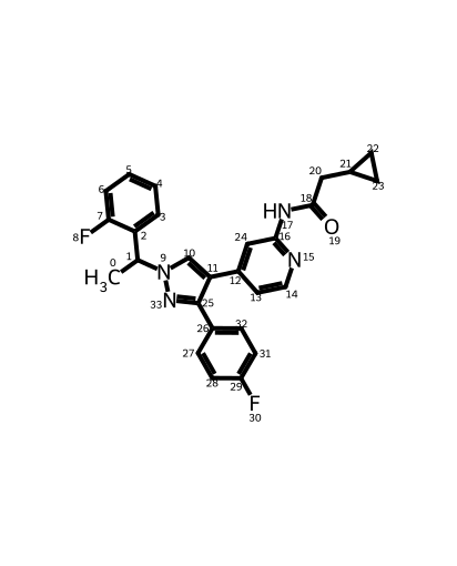 CC(c1ccccc1F)n1cc(-c2ccnc(NC(=O)CC3CC3)c2)c(-c2ccc(F)cc2)n1